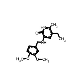 CCc1cc(NCc2ccc(OC)c(OC)c2)c(=O)[nH]c1C